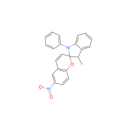 CC1c2ccccc2N(c2ccccc2)C12C=Cc1cc([N+](=O)[O-])ccc1O2